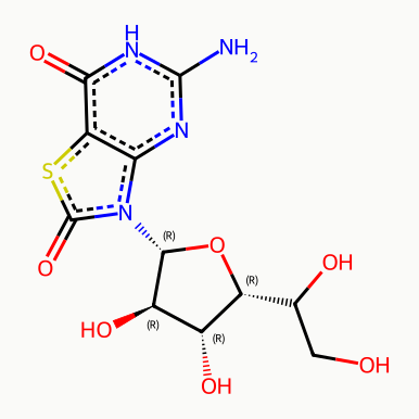 Nc1nc2c(sc(=O)n2[C@@H]2O[C@H](C(O)CO)[C@H](O)[C@H]2O)c(=O)[nH]1